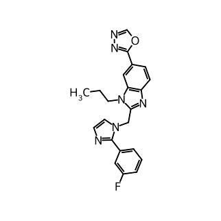 CCCn1c(Cn2ccnc2-c2cccc(F)c2)nc2ccc(-c3nnco3)cc21